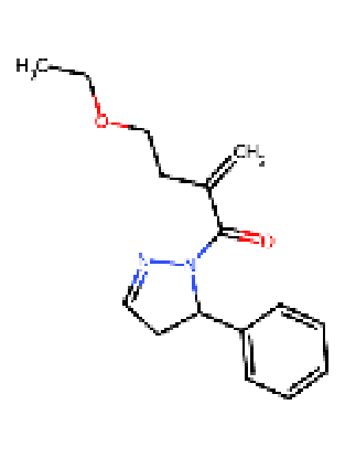 C=C(CCOCC)C(=O)N1N=CCC1c1ccccc1